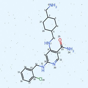 NCC1CCC(CNc2cc(NCc3ccccc3Cl)ncc2C(N)=O)CC1